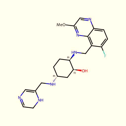 COc1cnc2ccc(F)c(CN[C@@H]3CC[C@@H](NCC4=CN=CCN4)C[C@@H]3O)c2n1